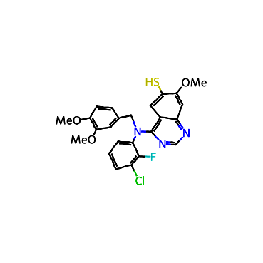 COc1cc2ncnc(N(Cc3ccc(OC)c(OC)c3)c3cccc(Cl)c3F)c2cc1S